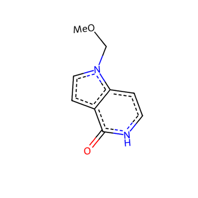 COCn1ccc2c(=O)[nH]ccc21